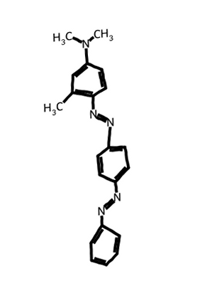 Cc1cc(N(C)C)ccc1N=Nc1ccc(N=Nc2ccccc2)cc1